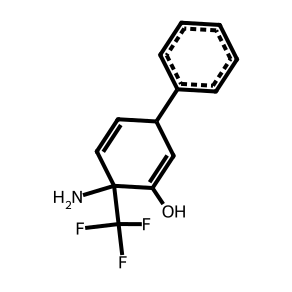 NC1(C(F)(F)F)C=CC(c2ccccc2)C=C1O